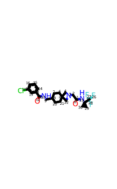 O=C(CN1CC2(CCC(CNC(=O)c3cccc(Cl)c3)CC2)C1)NC1(C(F)(F)F)CC1